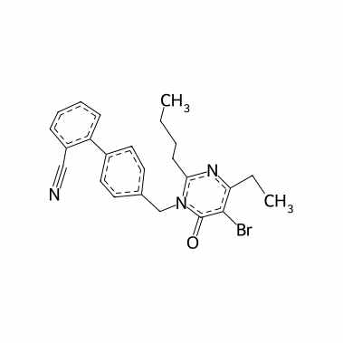 CCCCc1nc(CC)c(Br)c(=O)n1Cc1ccc(-c2ccccc2C#N)cc1